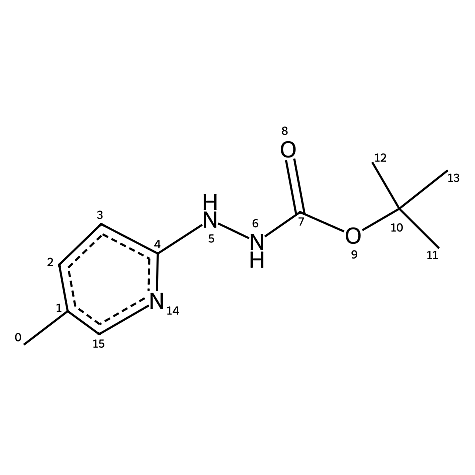 Cc1ccc(NNC(=O)OC(C)(C)C)nc1